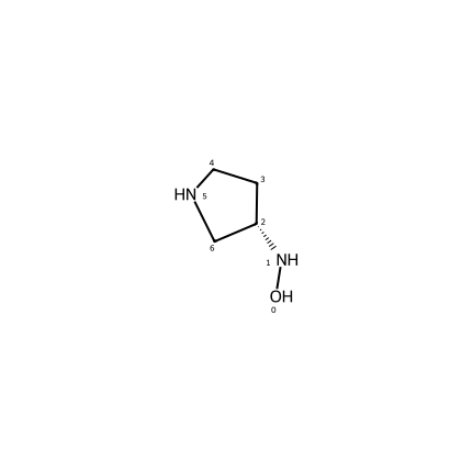 ON[C@H]1CCNC1